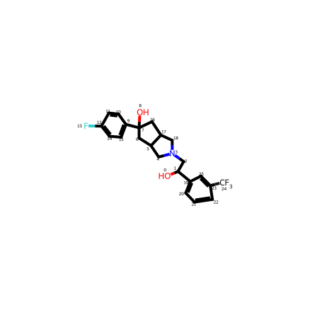 OC(CN1CC2CC(O)(c3ccc(F)cc3)CC2C1)c1cccc(C(F)(F)F)c1